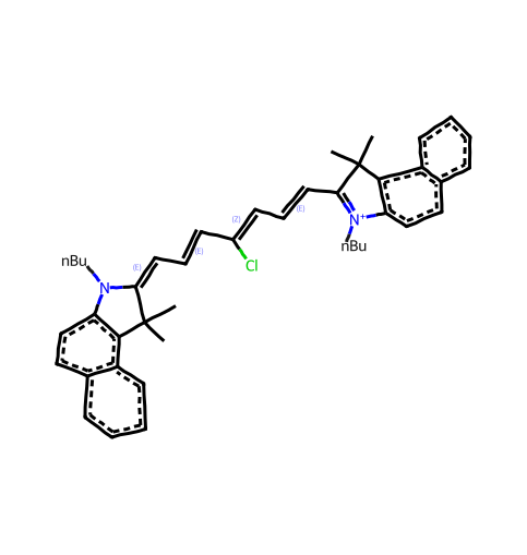 CCCCN1/C(=C/C=C/C(Cl)=C/C=C/C2=[N+](CCCC)c3ccc4ccccc4c3C2(C)C)C(C)(C)c2c1ccc1ccccc21